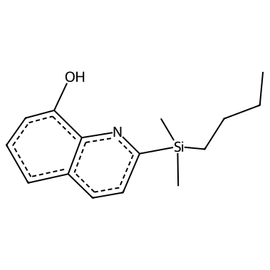 CCCC[Si](C)(C)c1ccc2cccc(O)c2n1